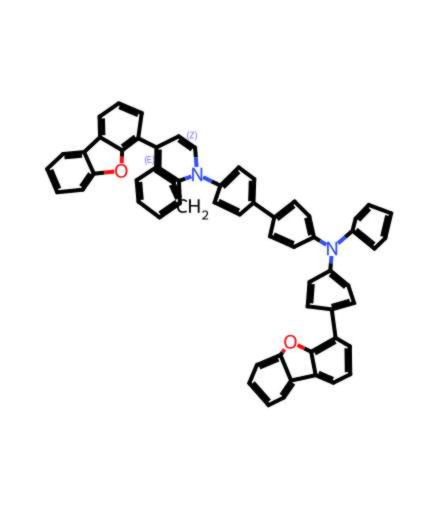 C=C/C=C(\C=C/N(c1ccccc1)c1ccc(-c2ccc(N(c3ccccc3)c3ccc(-c4cccc5c4oc4ccccc45)cc3)cc2)cc1)c1cccc2c1oc1ccccc12